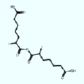 O=C(O)CCCCC(F)C(=O)OC(=O)C(F)CCCCC(=O)O